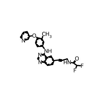 Cc1cc(Nc2ncnc3ccc(C#CCNC(=O)C(F)F)cc23)ccc1Oc1cccnc1